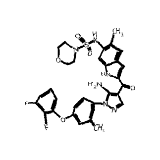 Cc1cc2cc(C(=O)c3cnn(-c4ccc(Oc5cccc(F)c5F)cc4C)c3N)[nH]c2cc1NS(=O)(=O)N1CCOCC1